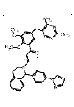 COc1cc(Cc2cnc(N)nc2N)cc(C(=O)/C=C/N2CCc3ccccc3C2c2ccc(-n3cncn3)cc2)c1OC